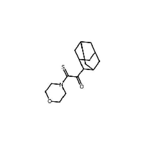 O=C(C(=S)N1CCOCC1)C1C2CC3CC(C2)CC1C3